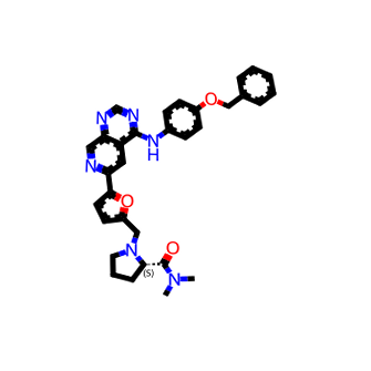 CN(C)C(=O)[C@@H]1CCCN1Cc1ccc(-c2cc3c(Nc4ccc(OCc5ccccc5)cc4)ncnc3cn2)o1